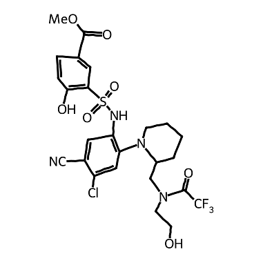 COC(=O)c1ccc(O)c(S(=O)(=O)Nc2cc(C#N)c(Cl)cc2N2CCCCC2CN(CCO)C(=O)C(F)(F)F)c1